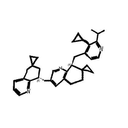 CC(C)c1nccc(C[C@@H]2c3ncc(C[C@H]4CC5(CC5)Cc5cccnc54)cc3CCC23CC3)c1C1CC1